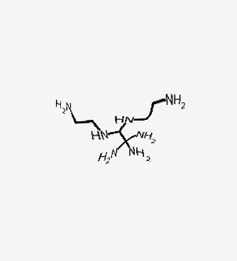 NCCNC(NCCN)C(N)(N)N